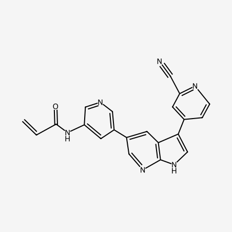 C=CC(=O)Nc1cncc(-c2cnc3[nH]cc(-c4ccnc(C#N)c4)c3c2)c1